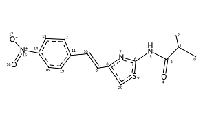 CC(C)C(=O)Nc1nc(C=Cc2ccc([N+](=O)[O-])cc2)cs1